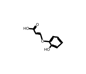 O=C(O)C=COc1ccccc1O